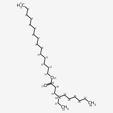 CCCCCCCCCCCCCCCOC(=O)CCN(CC)CCCCCC